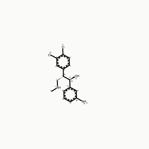 CNC[C@H](c1ccc(Cl)c(Cl)c1)[C@@H](O)c1cccc(N)c1